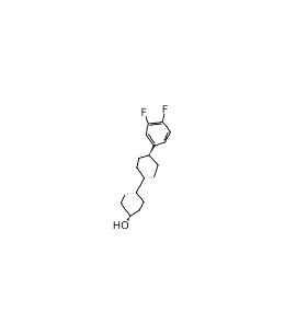 O[C@H]1CC[C@H]([C@H]2CC[C@H](c3ccc(F)c(F)c3)CC2)CC1